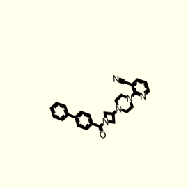 N#Cc1cccnc1N1CCN(C2CN(C(=O)c3ccc(-c4ccccc4)cc3)C2)CC1